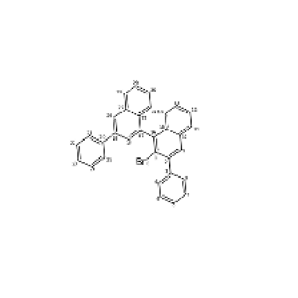 Brc1c(-c2ccccc2)cc2ccccc2c1-c1cc(-c2ccccc2)cc2ccccc12